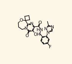 Cc1ncn(-c2cc(F)ccc2CNC(=O)c2nc3n(c(=O)c2O)CCCOC32CCC2)n1